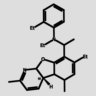 CCC1=CC(C)C2C(=C1C(C)N(CC)c1ccccc1CC)OC1N=C(C)C=C[C@H]12